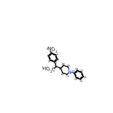 O=C(O)C(c1ccc([N+](=O)[O-])cc1)C1CCN(c2ccccc2)CC1